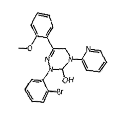 COc1ccccc1C1=NN(c2ccccc2Br)C(O)N(c2ccccn2)C1